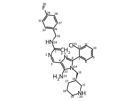 C=C(/N=C\c1nc(-c2ccccc2Cl)n(C[C@@H]2CCCNC2)c1N)NCc1ccc(F)cc1